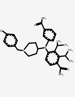 CC(C)c1c(C(N)=O)ccc(N(c2cccc(C(N)=O)c2)C2CCN(Cc3ccc(Cl)cc3)CC2)c1C(C)C